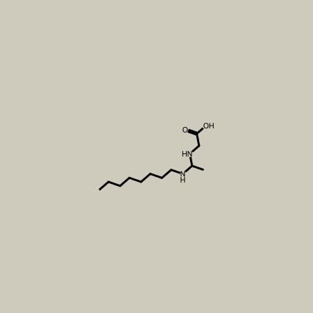 CCCCCCCCNC(C)NCC(=O)O